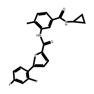 Cc1ccc(C(=O)NC2CC2)cc1NC(=O)c1ccc(-c2ccc(F)cc2F)s1